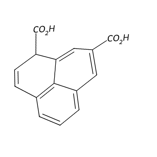 O=C(O)c1cc2c3c(cccc3c1)C=CC2C(=O)O